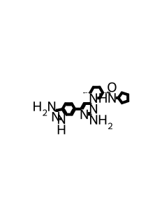 C[C@@H]1CC[C@H](C(=O)NC2CCCC2)CN1c1cc(-c2ccc3c(N)n[nH]c3c2)nc(N)n1